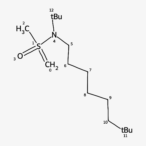 C=S(C)(=O)N(CCCCCCC(C)(C)C)C(C)(C)C